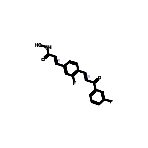 O=C(/C=C/c1ccc(/C=C/C(=O)c2cccc(F)c2)c(F)c1)NO